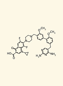 COc1cc(-c2cc(Cc3cnc(N)nc3N)ccc2OC)ccc1CN1CCN(c2c(F)cc3c(=O)c(C(=O)O)cn(C4CC4)c3c2F)CC1